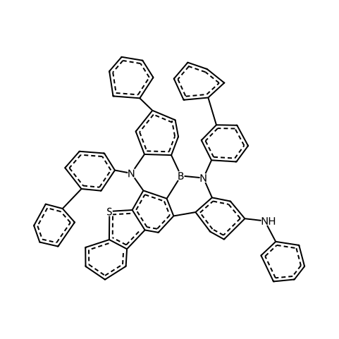 c1ccc(Nc2ccc3c(c2)N(c2cccc(-c4ccccc4)c2)B2c4ccc(-c5ccccc5)cc4N(c4cccc(-c5ccccc5)c4)c4c2c-3cc2c4sc3ccccc32)cc1